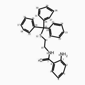 Nc1ccccc1C(=O)NCCSC(c1ccccc1)(c1ccccc1)c1ccccc1